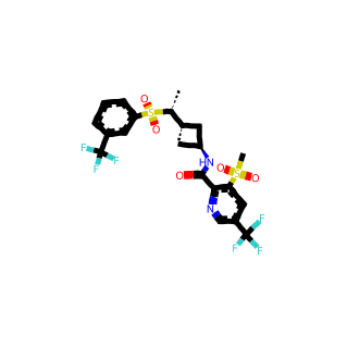 C[C@H]([C@H]1C[C@H](NC(=O)c2ncc(C(F)(F)F)cc2S(C)(=O)=O)C1)S(=O)(=O)c1cccc(C(F)(F)F)c1